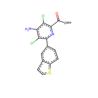 COC(=O)c1nc(-c2ccc3sccc3c2)c(Cl)c(N)c1Cl